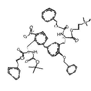 CC(C)(C)OC(=O)N[C@@H](Cc1cc(-c2ccc(OCc3ccccc3)c(C[C@H](NC(=O)OCc3ccccc3)C(=O)OCC[Si](C)(C)C)c2)ccc1[N+](=O)[O-])C(=O)OCc1ccccc1